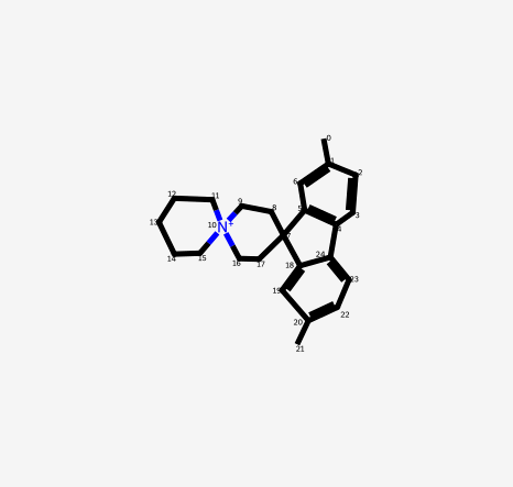 Cc1ccc2c(c1)C1(CC[N+]3(CCCCC3)CC1)c1cc(C)ccc1-2